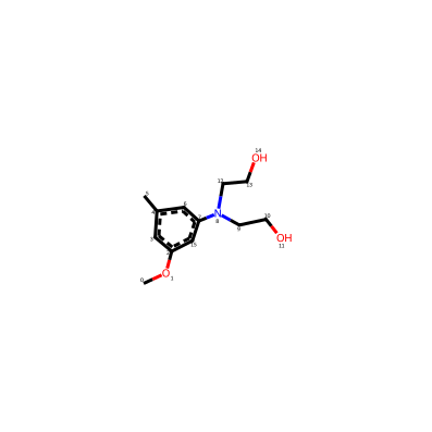 COc1cc(C)cc(N(CCO)CCO)c1